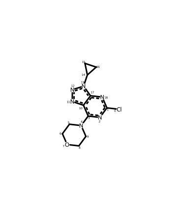 Clc1nc(N2CCOCC2)c2nnn(C3CC3)c2n1